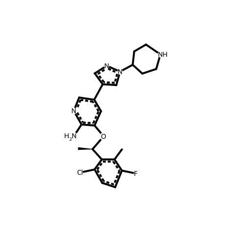 Cc1c(F)ccc(Cl)c1[C@@H](C)Oc1cc(-c2cnn(C3CCNCC3)c2)cnc1N